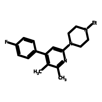 CCN1CCN(c2cc(-c3ccc(F)cc3)c(C)c(C)n2)CC1